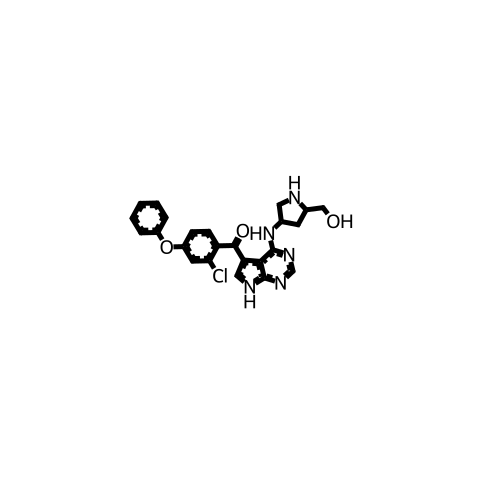 O=C(c1ccc(Oc2ccccc2)cc1Cl)c1c[nH]c2ncnc(NC3CNC(CO)C3)c12